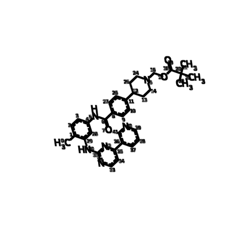 Cc1ccc(NC(=O)c2ccc(C3CCN(COC(=O)C(C)(C)C)CC3)cc2)cc1Nc1nccc(-c2cccnc2)n1